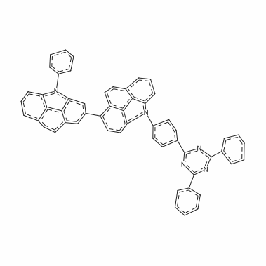 c1ccc(-c2nc(-c3ccccc3)nc(-c3ccc(-n4c5cccc6ccc7c(-c8cc9ccc%10cccc%11c%10c9c(c8)n%11-c8ccccc8)ccc4c7c65)cc3)n2)cc1